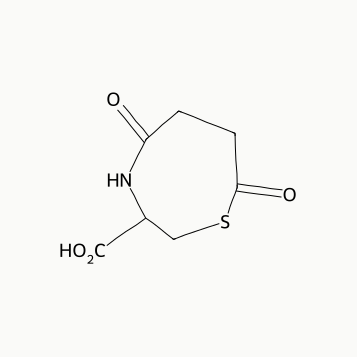 O=C1CCC(=O)SCC(C(=O)O)N1